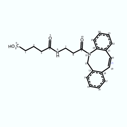 O=C(O)CCCC(=O)NCCC(=O)N1Cc2ccccc2/C=C\c2ccccc21